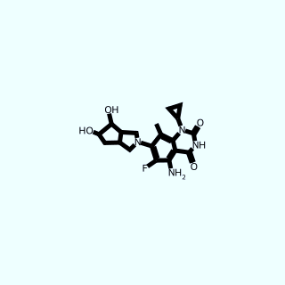 Cc1c(N2CC3CC(O)C(O)C3C2)c(F)c(N)c2c(=O)[nH]c(=O)n(C3CC3)c12